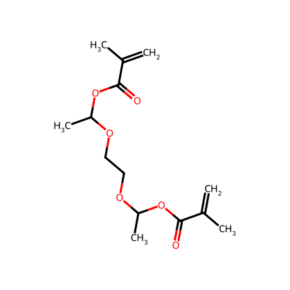 C=C(C)C(=O)OC(C)OCCOC(C)OC(=O)C(=C)C